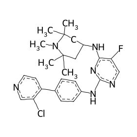 CN1C(C)(C)CC(Nc2nc(Nc3ccc(-c4ccncc4Cl)cc3)ncc2F)CC1(C)C